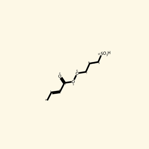 CC=CC(=O)OOCCCS(=O)(=O)O